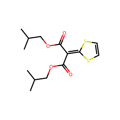 CC(C)COC(=O)C(C(=O)OCC(C)C)=C1SC=CS1